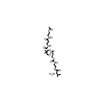 CC(=O)SCCNC(=O)CCNC(=O)[C@@H]1OP(=O)(OCOC(=O)NCCSC(=O)[C@@H](N)C(C)C)OCC1(C)C